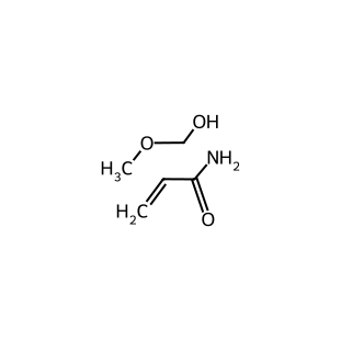 C=CC(N)=O.COCO